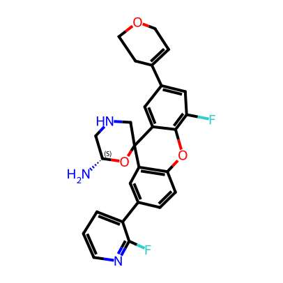 N[C@@H]1CNCC2(O1)c1cc(-c3cccnc3F)ccc1Oc1c(F)cc(C3=CCOCC3)cc12